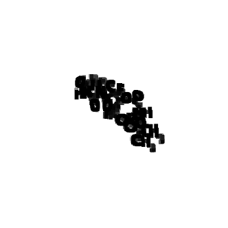 CC(C)OP1(=O)NCC(=O)OC2[C@@H](CO1)O[C@@H](n1ccc(=O)[nH]c1=O)C2(C)F